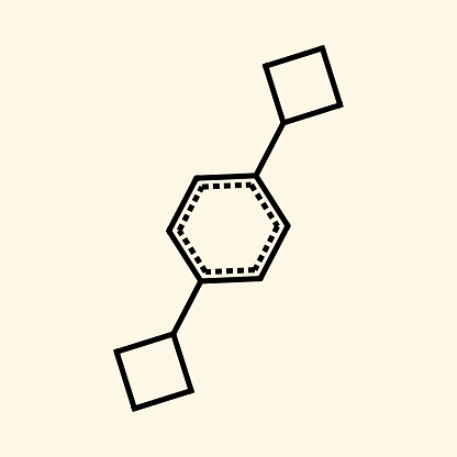 c1cc(C2CCC2)ccc1C1CCC1